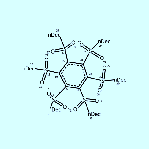 CCCCCCCCCCS(=O)(=O)c1c(S(=O)(=O)CCCCCCCCCC)c(S(=O)(=O)CCCCCCCCCC)c(S(=O)(=O)CCCCCCCCCC)c(S(=O)(=O)CCCCCCCCCC)c1S(=O)(=O)CCCCCCCCCC